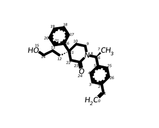 C=Cc1ccc([C@H](C)N2CC[C@](CCCO)(c3ccccc3)CC2=O)cc1